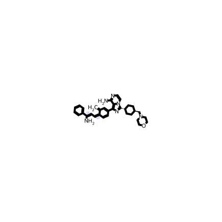 C=c1cc(-c2nc([C@H]3CC[C@H](CN4CCOCC4)CC3)n3ccnc(N)c23)cc/c1=C/C=C(\N)c1ccccc1